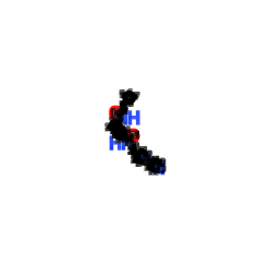 O=C(CCC1CCCC1)NC1CCc2ccc(C(=O)NCCC3CCN(c4ccncc4)CC3)cc21